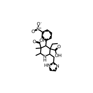 CCC1(C(=O)O)C(Cc2ncc[nH]2)NC(C)C(C)(C(=O)O)C1c1cccc([N+](=O)[O-])c1